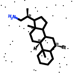 CC[C@H]1CC2C3CCC([C@H](C)CN)C3(C)CC[C@@H]2C2(C)CCCCC12